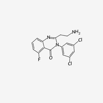 NCCc1nc2cccc(F)c2c(=O)n1-c1cc(Cl)cc(Cl)c1